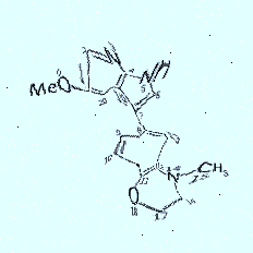 COc1cnc2[nH]cc(-c3ccc4c(c3)N(C)CCO4)c2c1